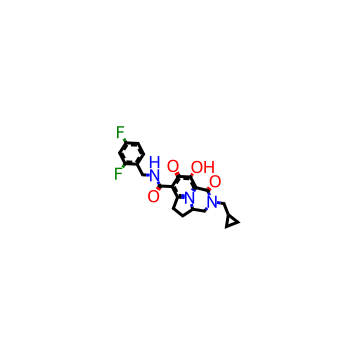 O=C(NCc1ccc(F)cc1F)c1c2n3c(c(O)c1=O)C(=O)N(CC1CC1)CC3CC2